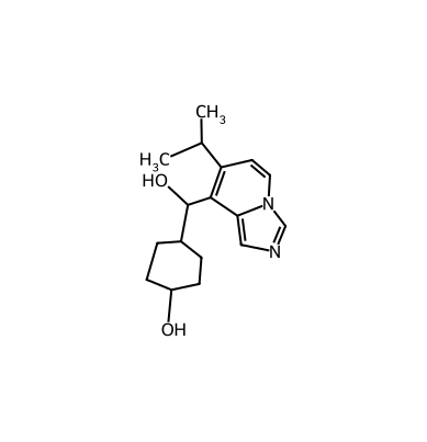 CC(C)c1ccn2cncc2c1C(O)C1CCC(O)CC1